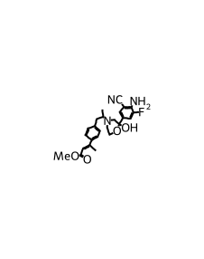 COC(=O)/C=C(\C)c1ccc(CC(C)N2CCOC(O)(c3cc(F)c(N)c(C#N)c3)C2)cc1